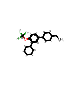 CCC1CCC(c2ccc(OC(F)(F)F)c(C3CCCCC3)c2)CC1